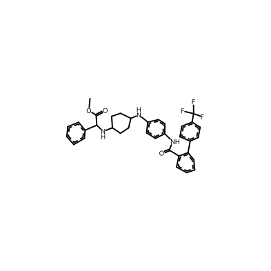 COC(=O)C(NC1CCC(Nc2ccc(NC(=O)c3ccccc3-c3ccc(C(F)(F)F)cc3)cc2)CC1)c1ccccc1